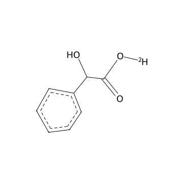 [2H]OC(=O)C(O)c1ccccc1